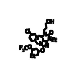 C=C1c2c(nc(OC(/C=C(\C)OC(F)(F)F)=C/CC)n2Cc2ccc(Cl)cn2)N(CC)C(=O)N1CCCO